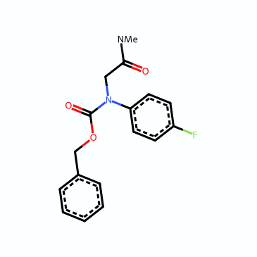 CNC(=O)CN(C(=O)OCc1ccccc1)c1ccc(F)cc1